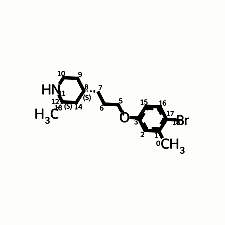 Cc1cc(OCCC[C@H]2CCN[C@@H](C)C2)ccc1Br